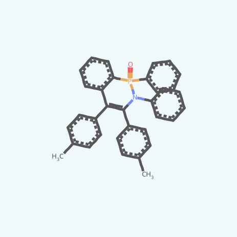 Cc1ccc(C2=C(c3ccc(C)cc3)N(c3ccccc3)P(=O)(c3ccccc3)c3ccccc32)cc1